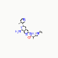 CC(=O)N1CC(=C(C)C(=O)Nc2cc3cc(-c4cnccc4C)nc(N)c3cn2)C1